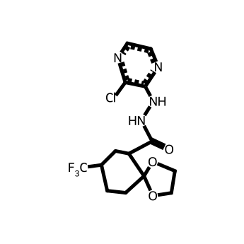 O=C(NNc1nccnc1Cl)C1CC(C(F)(F)F)CCC12OCCO2